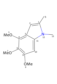 [CH2]c1cc2c(OC)c(OC)c(OC)cc2n1C